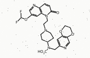 O=C(O)N(Cc1cc2c(cn1)OCCO2)C1CCN(CCn2c(=O)ccc3ncc(OC(F)F)cc32)CC1